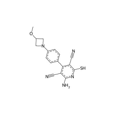 COC1CN(c2ccc(-c3c(C#N)c(N)nc(S)c3C#N)cc2)C1